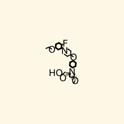 CCOc1ccc(F)c(N2CCC(Oc3ccc(N4C[C@H](OC)C[C@@H]4CC(=O)O)cc3)CC2)c1